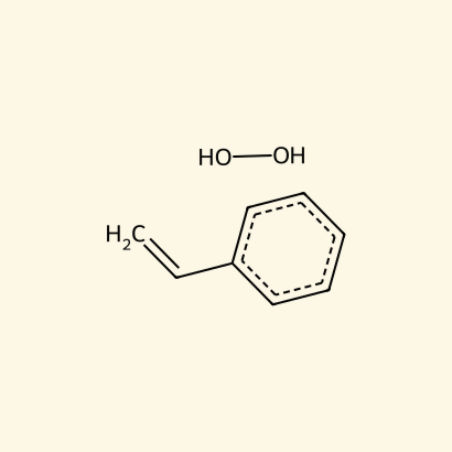 C=Cc1ccccc1.OO